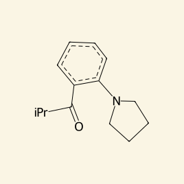 CC(C)C(=O)c1ccccc1N1CCCC1